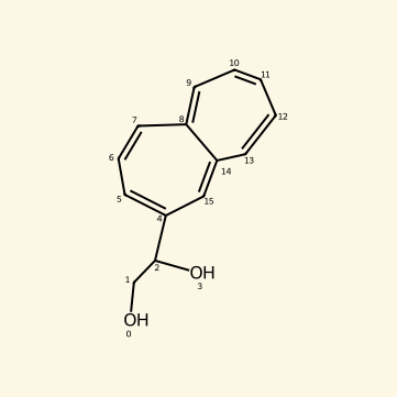 OCC(O)C1=CC=CC2=CC=CC=CC2=C1